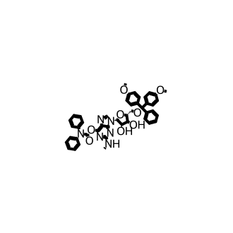 CNc1nc(OC(=O)N(c2ccccc2)c2ccccc2)c2ncn([C@@H]3O[C@H](COC(c4ccccc4)(c4ccc(OC)cc4)c4ccc(OC)cc4)C(O)[C@@H]3O)c2n1